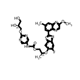 COc1cnc2c(-c3nc4cc(F)c(O[C@@H](C)COC(=O)Nc5cnc(OC[C@H](O)CO)nc5)cc4s3)cc(C)cc2n1